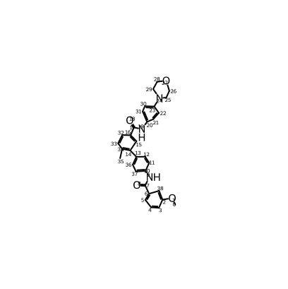 COc1cccc(C(=O)Nc2ccc(-c3cc(C(=O)Nc4ccc(N5CCOCC5)cc4)ccc3C)cc2)c1